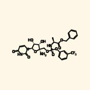 C[C@H](NP(=O)(OC[C@@]1(N)O[C@@H](n2ccc(=O)[nH]c2=O)[C@H](O)[C@@H]1O)Oc1cccc(C(F)(F)F)c1)C(=O)OCc1ccccc1